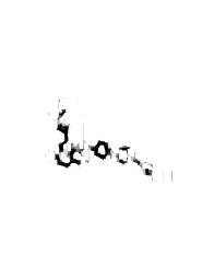 C=CC(=O)N1CC(CCn2c(=O)ccc3cnc(Nc4ccc(N5CCN(CCOCC)CC5)cc4)nc32)C1